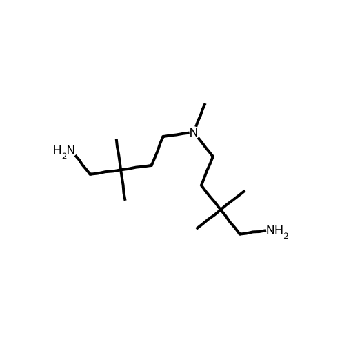 CN(CCC(C)(C)CN)CCC(C)(C)CN